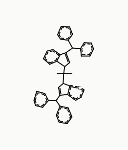 CC(C)(C1C=C(C(c2ccccc2)c2ccccc2)c2ccccc21)C1C=C(C(c2ccccc2)c2ccccc2)c2ccccc21